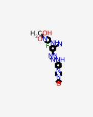 C[C@H](O)C(=O)N1CC[C@H](Nc2ccc(-c3ncnc(Nc4ccc(N5CCN(C6COC6)CC5)cc4)n3)cc2C#N)[C@@H](F)C1